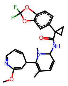 COC1=CC(C2=C(C)C=CC(NC(=O)C3(c4ccc5c(c4)OC(F)(F)O5)CC3)N2C)C=CC=N1